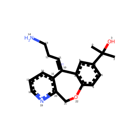 CC(C)(O)c1ccc2c(c1)/C(=C/CCN)c1cccnc1CO2